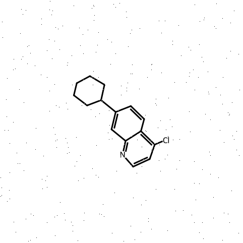 Clc1ccnc2cc(C3CCCCC3)ccc12